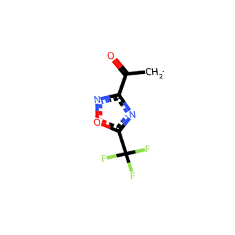 [CH2]C(=O)c1noc(C(F)(F)F)n1